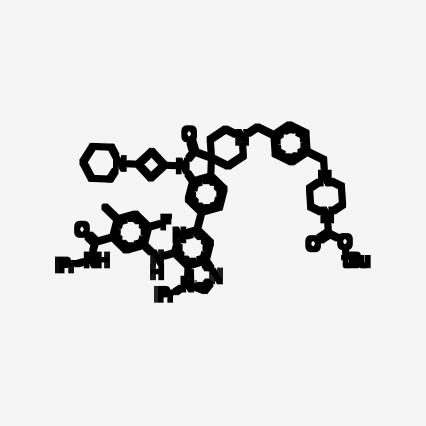 Cc1cc(F)c(Nc2nc(-c3ccc4c(c3)N(C3CC(N5CCCCC5)C3)C(=O)C43CCN(Cc4ccc(CN5CCN(C(=O)OC(C)(C)C)CC5)cc4)CC3)cc3ncn(C(C)C)c23)cc1C(=O)NC(C)C